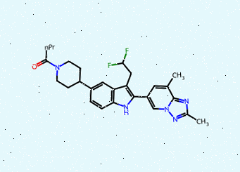 CCCC(=O)N1CCC(c2ccc3[nH]c(-c4cc(C)c5nc(C)nn5c4)c(CC(F)F)c3c2)CC1